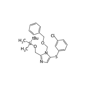 CC(C)(C)[Si](C)(C)OCc1ncc(Sc2cccc(Cl)c2)n1COCc1ccccc1